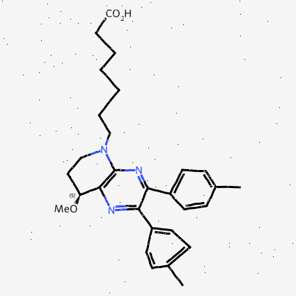 CO[C@H]1CCN(CCCCCCC(=O)O)c2nc(-c3ccc(C)cc3)c(-c3ccc(C)cc3)nc21